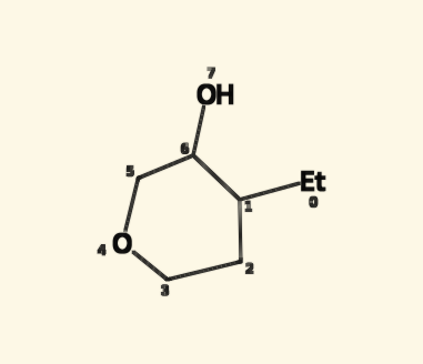 CCC1CCOCC1O